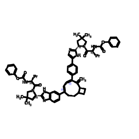 C=C1/C(c2ccc(-c3cnc([C@@H]4CC(C)(C)CN4C(=O)[C@@H](NC(=O)Oc4ccccc4)C(C)C)[nH]3)cc2)=C\C=C(\c2ccc3nc([C@@H]4CC(C)(C)CN4C(=O)[C@@H](NC(=O)Oc4ccccc4)C(C)C)[nH]c3c2)CCC2CCC12